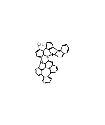 Cc1ccc2c3c1-c1cccc4c5c6ccccc6ccc5n(c14)B3c1cc3cccc4c3c3c5c(cccc5n-2c13)-c1ccccc1-4